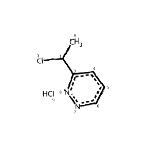 CC(Cl)c1cccnn1.Cl